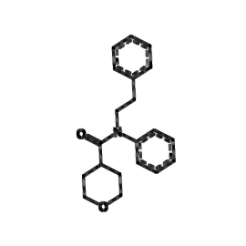 O=C(C1CCOCC1)N(CCc1ccccc1)c1ccccc1